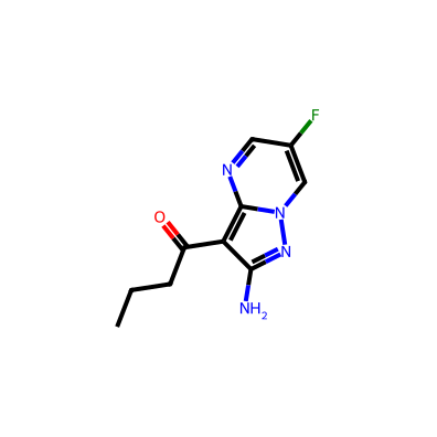 CCCC(=O)c1c(N)nn2cc(F)cnc12